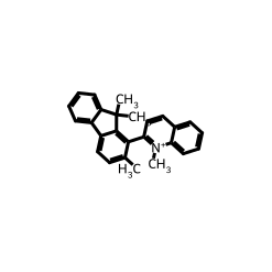 Cc1ccc2c(c1-c1ccc3ccccc3[n+]1C)C(C)(C)c1ccccc1-2